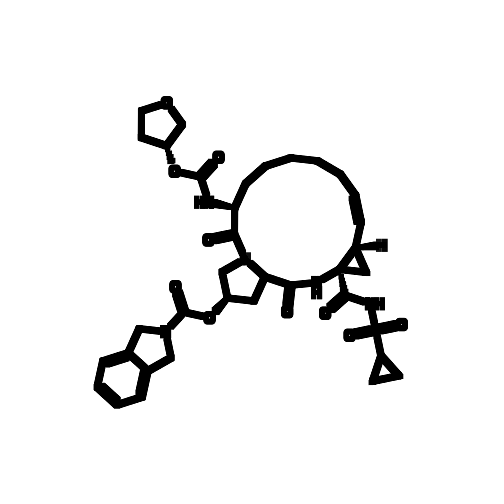 O=C(N[C@H]1CCCCC/C=C\[C@@H]2C[C@@]2(C(=O)NS(=O)(=O)C2CC2)NC(=O)C2C[C@@H](OC(=O)N3Cc4ccccc4C3)CN2C1=O)O[C@@H]1CCOC1